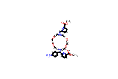 COC(=O)c1cccc(CN2CCOCCOCCN(C(c3ccc(N)cc3)c3cccc(C(=O)OC)n3)CCOCCOCC2)n1